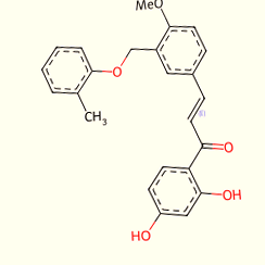 COc1ccc(/C=C/C(=O)c2ccc(O)cc2O)cc1COc1ccccc1C